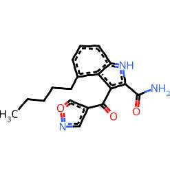 CCCCCc1cccc2[nH]c(C(N)=O)c(C(=O)c3cnoc3)c12